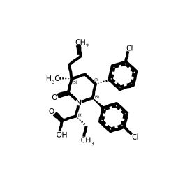 C=CC[C@@]1(C)C[C@H](c2cccc(Cl)c2)[C@@H](c2ccc(Cl)cc2)N([C@H](CC)C(=O)O)C1=O